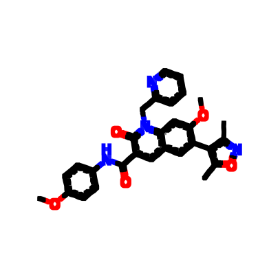 COc1ccc(NC(=O)c2cc3cc(-c4c(C)noc4C)c(OC)cc3n(Cc3ccccn3)c2=O)cc1